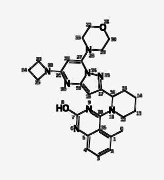 Cc1cccc2nc(O)nc(N3CCCCC3c3cc4nc(N5CCC5)cc(N5CCOCC5)n4n3)c12